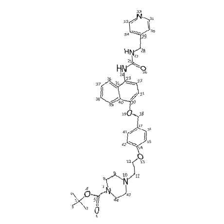 CC(C)(C)OC(=O)N1CCN(CCOc2ccc(COc3ccc(NC(=O)NCc4ccncc4)c4ccccc34)cc2)CC1